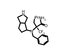 CC(C)C[C@](C(N)=O)(N(Cc1ccccc1)C1CCC2CNCC21)C(F)(F)F